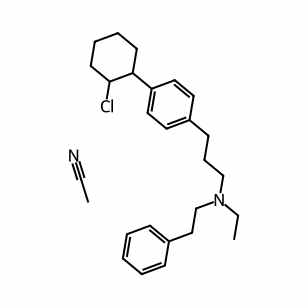 CC#N.CCN(CCCc1ccc(C2CCCCC2Cl)cc1)CCc1ccccc1